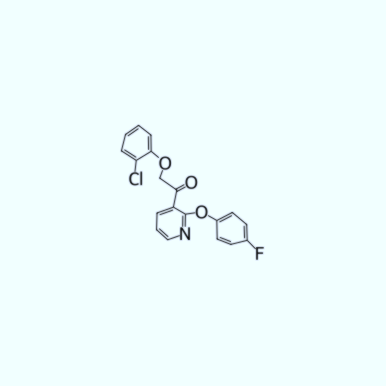 O=C(COc1ccccc1Cl)c1cccnc1Oc1ccc(F)cc1